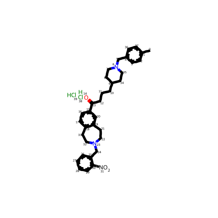 Cc1ccc(CN2CCC(CCCC(=O)c3ccc4c(c3)CCN(Cc3ccccc3[N+](=O)[O-])CC4)CC2)cc1.Cl.Cl